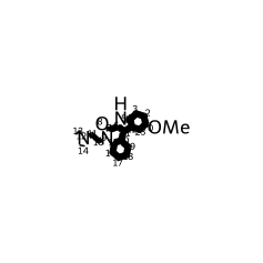 COc1ccc2[nH]c3c(=O)n(CCN(C)C)c4ccccc4c3c2c1